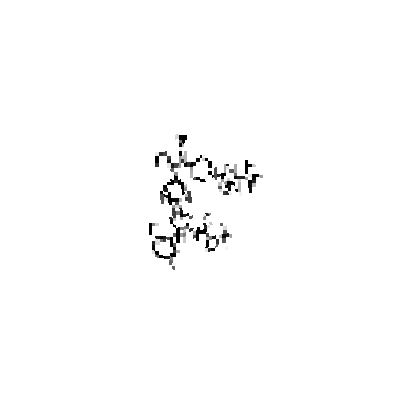 Cc1ccc(F)c([C@H]2CN(c3ncc(C(=O)N(C4CC4)C4CCN(c5nc(C(C)(F)F)no5)CC4)cn3)C[C@@H]2NC(=O)OC(C)(C)C)c1